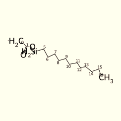 [CH2]C(=O)O[SiH2]CCCCCCCCCCCC